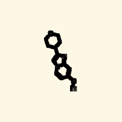 CCOc1ccn2cc(C3CCOCC3)nc2c1